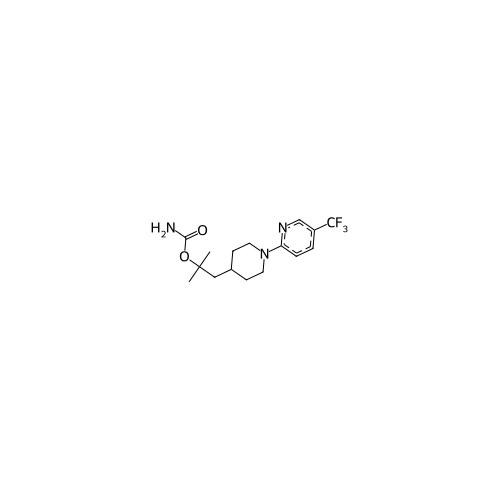 CC(C)(CC1CCN(c2ccc(C(F)(F)F)cn2)CC1)OC(N)=O